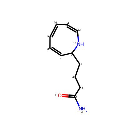 NC(=O)CCCC1C=CC=CC=CN1